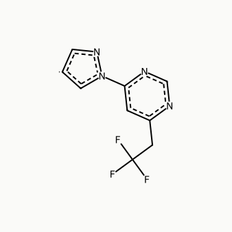 FC(F)(F)Cc1cc(-n2c[c]cn2)ncn1